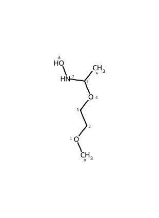 COCCOC(C)NO